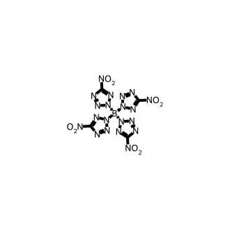 O=[N+]([O-])c1nnn([B-](n2nnc([N+](=O)[O-])n2)(n2nnc([N+](=O)[O-])n2)n2nnc([N+](=O)[O-])n2)n1